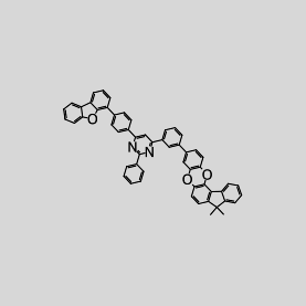 CC1(C)c2ccccc2-c2c1ccc1c2Oc2ccc(-c3cccc(-c4cc(-c5ccc(-c6cccc7c6oc6ccccc67)cc5)nc(-c5ccccc5)n4)c3)cc2O1